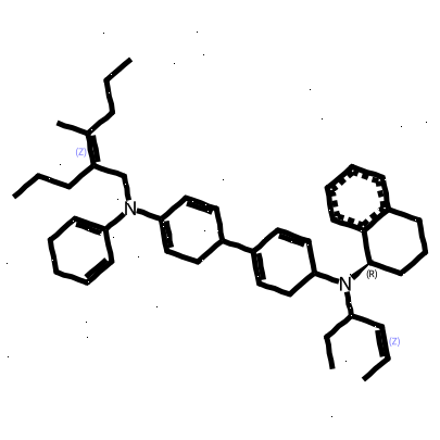 C/C=C\C(CC)N(C1C=CC(C2C=CC(N(C/C(CCC)=C(/C)CCC)C3=CCCC=C3)=CC2)=CC1)[C@@H]1CCCc2ccccc21